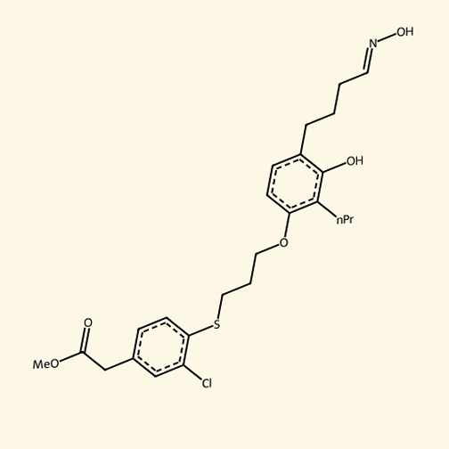 CCCc1c(OCCCSc2ccc(CC(=O)OC)cc2Cl)ccc(CCCC=NO)c1O